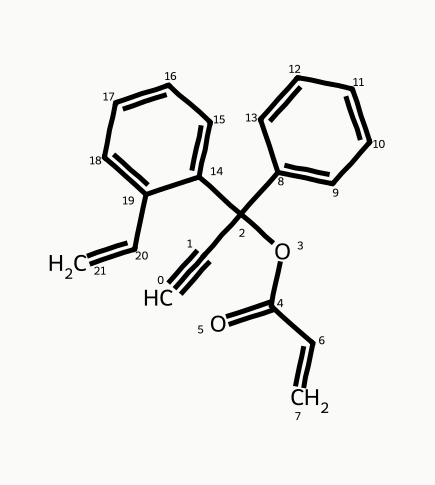 C#CC(OC(=O)C=C)(c1ccccc1)c1ccccc1C=C